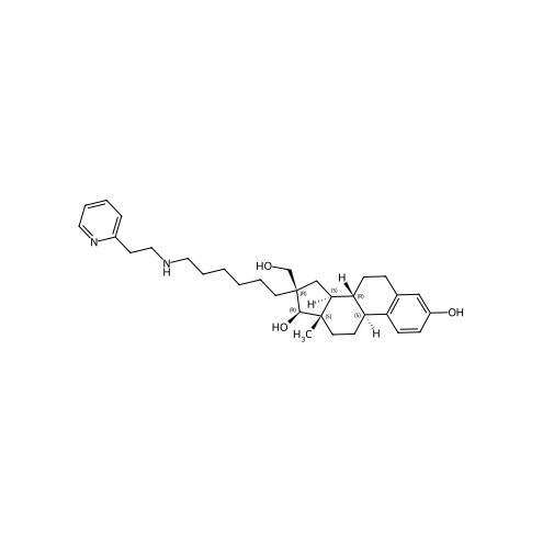 C[C@]12CC[C@@H]3c4ccc(O)cc4CC[C@H]3[C@@H]1C[C@@](CO)(CCCCCCNCCc1ccccn1)[C@@H]2O